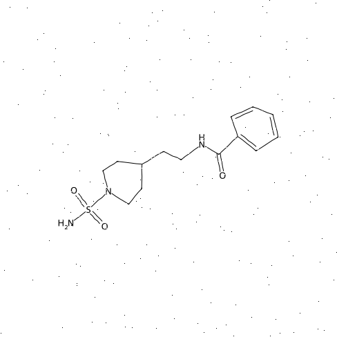 NS(=O)(=O)N1CCC(CCNC(=O)c2ccccc2)CC1